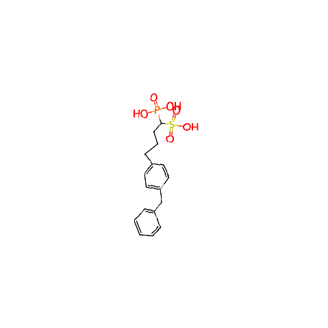 O=P(O)(O)C(CCCc1ccc(Cc2ccccc2)cc1)S(=O)(=O)O